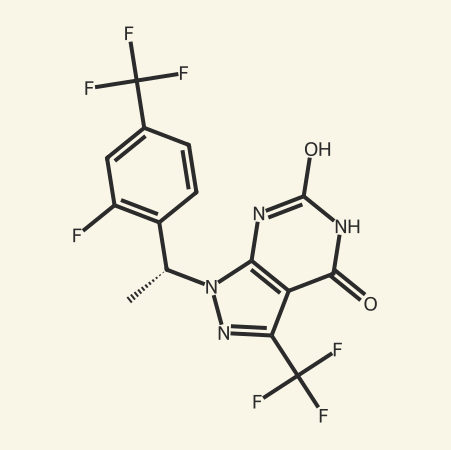 C[C@H](c1ccc(C(F)(F)F)cc1F)n1nc(C(F)(F)F)c2c(=O)[nH]c(O)nc21